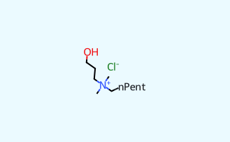 CCCCCC[N+](C)(C)CCCO.[Cl-]